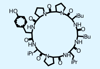 CCC(C)C1NC(=O)C(CC(C)C)NC(=O)C2CCCN2C(=O)C(C(C)C)NC(=O)C(Cc2ccc(O)cc2)NC(=O)C2CCCN2C(=O)C2CCCN2C(=O)C(C(C)CC)NC1=O